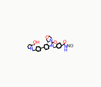 O=NNC(=O)c1ccc(CN(C(=O)N2CCOCC2)c2ccc(-c3ccc(CN4CCC[C@H]4CO)cc3)cc2)cc1